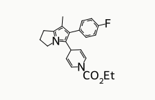 CCOC(=O)N1C=CC(c2c(-c3ccc(F)cc3)c(C)c3n2CCC3)C=C1